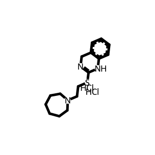 Cl.Cl.c1ccc2c(c1)CN=C(SCCN1CCCCCC1)N2